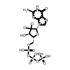 Nc1nc2c(ncn2[C@@H]2O[C@H](COP(=O)(O)OP(=O)(O)OP(=O)(O)O)[C@@H](O)C2(Cl)Cl)c(=O)[nH]1